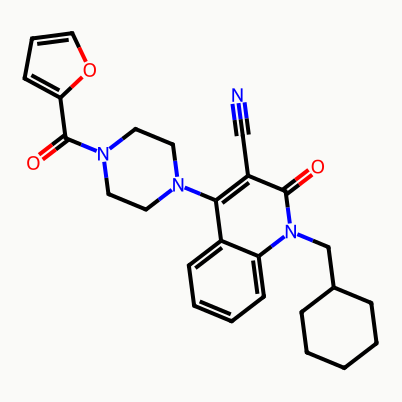 N#Cc1c(N2CCN(C(=O)c3ccco3)CC2)c2ccccc2n(CC2CCCCC2)c1=O